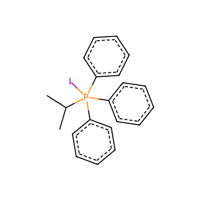 CC(C)P(I)(c1ccccc1)(c1ccccc1)c1ccccc1